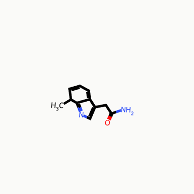 CC1C=CC=C2C(CC(N)=O)=CN=C21